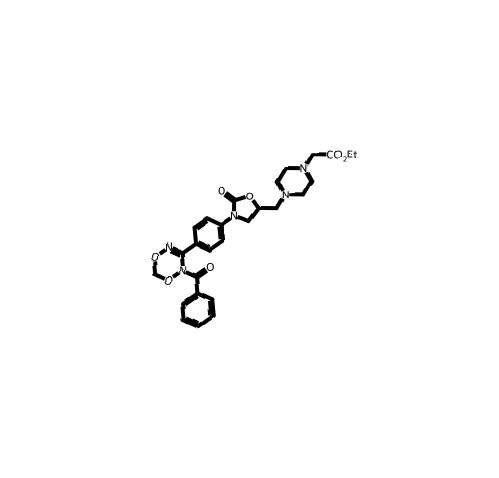 CCOC(=O)CN1CCN(CC2CN(c3ccc(C4=NOCON4C(=O)c4ccccc4)cc3)C(=O)O2)CC1